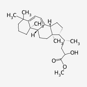 COC(=O)C(O)C[C@@H](C)[C@H]1CC[C@H]2C3=CC=C4C(C)(C)CCC[C@]4(C)[C@H]3CC[C@]12C